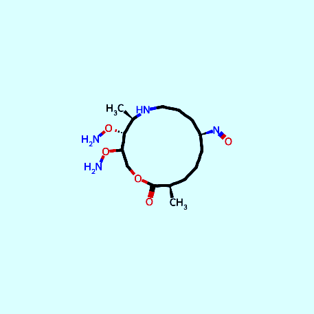 C[C@@H]1CCC[C@H](N=O)CCCN[C@H](C)[C@@H](ON)C(ON)COC1=O